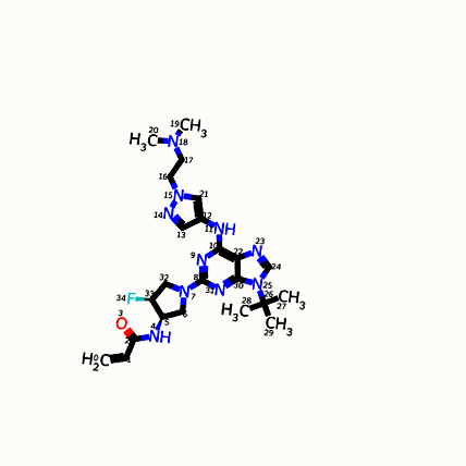 C=CC(=O)N[C@@H]1CN(c2nc(Nc3cnn(CCN(C)C)c3)c3ncn(C(C)(C)C)c3n2)C[C@@H]1F